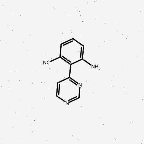 N#Cc1cccc(N)c1-c1ccncn1